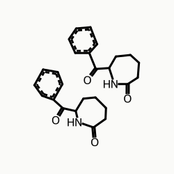 O=C1CCCCC(C(=O)c2ccccc2)N1.O=C1CCCCC(C(=O)c2ccccc2)N1